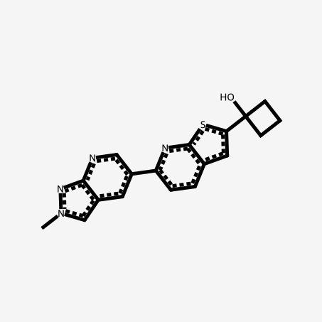 Cn1cc2cc(-c3ccc4cc(C5(O)CCC5)sc4n3)cnc2n1